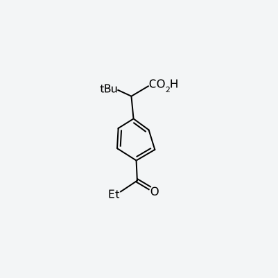 CCC(=O)c1ccc(C(C(=O)O)C(C)(C)C)cc1